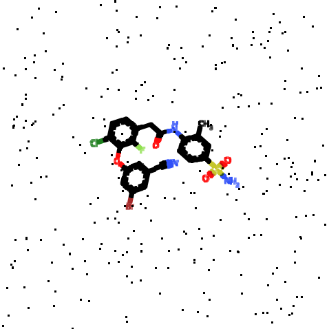 Cc1cc(S(N)(=O)=O)ccc1NC(=O)Cc1ccc(Cl)c(Oc2cc(Br)cc(C#N)c2)c1F